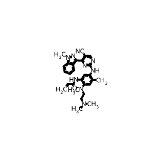 C=CC(=O)Nc1cc(Nc2ncc(C#N)c(-c3nn(C)c4ccccc34)n2)c(C)cc1N(C)CCN(C)C